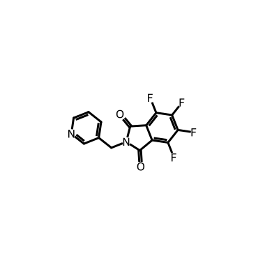 O=C1c2c(F)c(F)c(F)c(F)c2C(=O)N1Cc1cccnc1